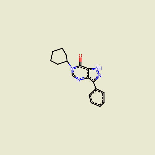 O=c1c2[nH]nc(-c3ccccc3)c2ncn1C1CCCCC1